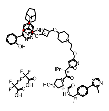 Cc1ncsc1-c1ccc([C@H](C)NC(=O)[C@@H]2C[C@@H](O)CN2C(=O)[C@@H](c2cc(OCCN3CCC(OC4CC(Oc5cc(N6C7CCC6CN(c6cc(-c8ccccc8O)nnc6N)C7)ccn5)C4)CC3)no2)C(C)C)cc1.O=C(O)C(F)(F)F.O=C(O)C(F)(F)F